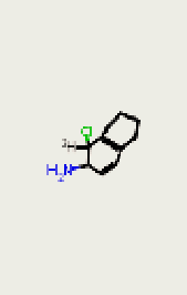 [2H]C1(Cl)C2=C(C=CC1N)CCCC2